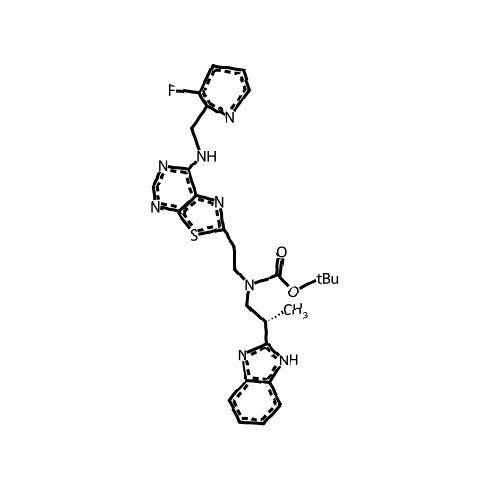 C[C@@H](CN(CCc1nc2c(NCc3ncccc3F)ncnc2s1)C(=O)OC(C)(C)C)c1nc2ccccc2[nH]1